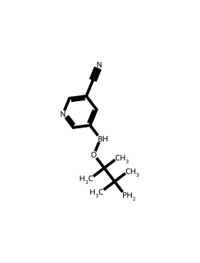 CC(C)(P)C(C)(C)OBc1cncc(C#N)c1